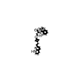 O=C(O)[C@H](CCO[C@H]1C[C@H](CCc2ccc3c(n2)NCCC3)C1)Nc1ncnc2cccc(F)c12